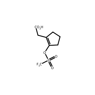 O=C(O)CC1=C(OS(=O)(=O)C(F)(F)F)CCC1